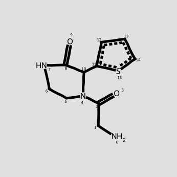 NCC(=O)N1CCNC(=O)C1c1cccs1